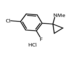 CNC1(c2ccc(Cl)cc2F)CC1.Cl